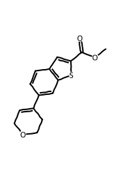 COC(=O)c1cc2ccc(C3=CCOCC3)cc2s1